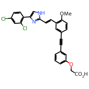 COc1ccc(C#Cc2cccc(OCC(=O)O)c2)cc1C=Cc1nc(-c2ccc(Cl)cc2Cl)c[nH]1